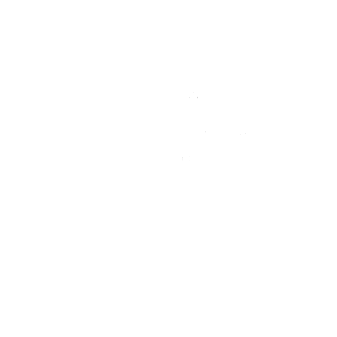 C=C(C)C(=O)OC1CCCC2CCCCC21